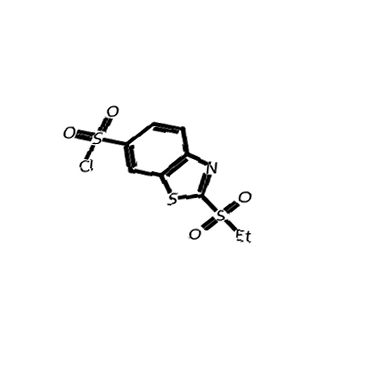 CCS(=O)(=O)c1nc2ccc(S(=O)(=O)Cl)cc2s1